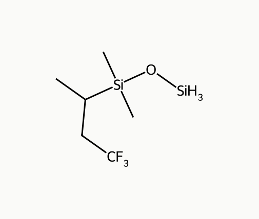 CC(CC(F)(F)F)[Si](C)(C)O[SiH3]